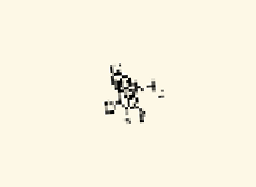 NS(=O)(=O)N(N=C=O)C(=O)c1ccccc1